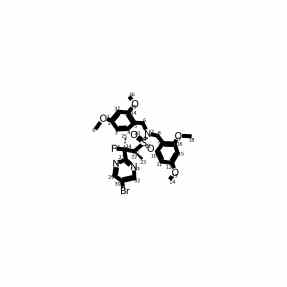 COc1ccc(CN(Cc2ccc(OC)cc2OC)S(=O)(=O)[C@@H](C)[C@](C)(F)c2ncc(Br)cn2)c(OC)c1